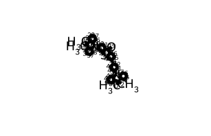 CC1(C)c2ccccc2N(c2ccc(-c3ccc4c(=O)c5ccc(N6c7ccccc7C(C)(C)c7ccccc76)cc5sc4c3)cc2)c2ccccc21